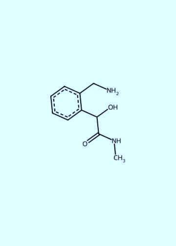 CNC(=O)C(O)c1ccccc1CN